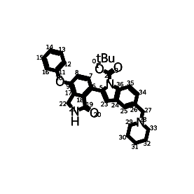 CC(C)(C)OC(=O)n1c(-c2ccc(Oc3ccccc3)c3c2C(=O)NC3)cc2cc(CN3CCCCC3)ccc21